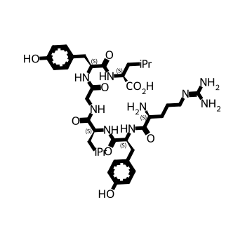 CC(C)C[C@H](NC(=O)[C@H](Cc1ccc(O)cc1)NC(=O)CNC(=O)[C@H](CC(C)C)NC(=O)[C@H](Cc1ccc(O)cc1)NC(=O)[C@@H](N)CCCN=C(N)N)C(=O)O